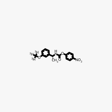 [2H]C([2H])([2H])Oc1cccc([C@@H](C)NC(=O)Oc2ccc([N+](=O)[O-])cc2)c1